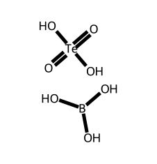 O=[Te](=O)(O)O.OB(O)O